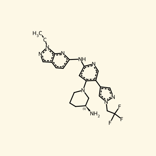 CCn1ncc2ccc(Nc3cc(N4CCC[C@H](N)C4)c(-c4cnn(CC(F)(F)F)c4)cn3)nc21